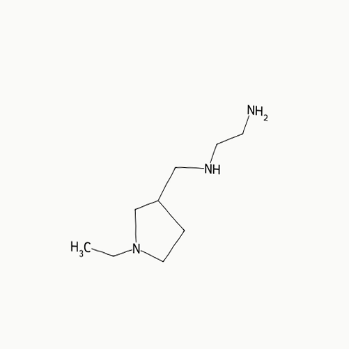 CCN1CCC(CNCCN)C1